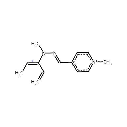 C=C/C(=C\C)N(C)N=Cc1cc[n+](C)cc1